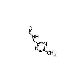 Cc1cnc(CN[C]=O)cn1